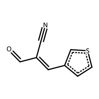 N#C/C(C=O)=C\c1ccsc1